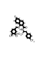 O=C(N[C@@H](Cc1ccc(C(F)(F)F)cc1)C(=O)O)c1ccc2cc(F)ccc2c1OCc1ccc(Cl)c(Cl)c1